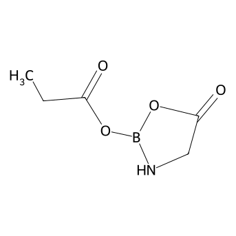 CCC(=O)OB1NCC(=O)O1